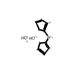 C1=CC[C]([W][C]2=CC=CC2)=C1.Cl.Cl